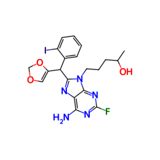 CC(O)CCCn1c(C(C2=COCO2)c2ccccc2I)nc2c(N)nc(F)nc21